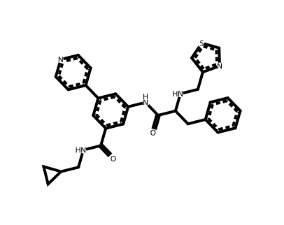 O=C(NCC1CC1)c1cc(NC(=O)C(Cc2ccccc2)NCc2cscn2)cc(-c2ccncc2)c1